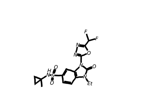 CCn1c(=O)n(-c2nnc(C(F)F)o2)c2cc(S(=O)(=O)NC3(C)CC3)ccc21